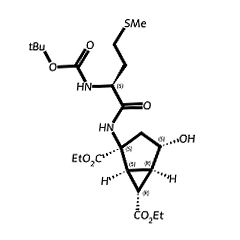 CCOC(=O)[C@H]1[C@H]2[C@@H]1[C@](NC(=O)[C@H](CCSC)NC(=O)OC(C)(C)C)(C(=O)OCC)C[C@@H]2O